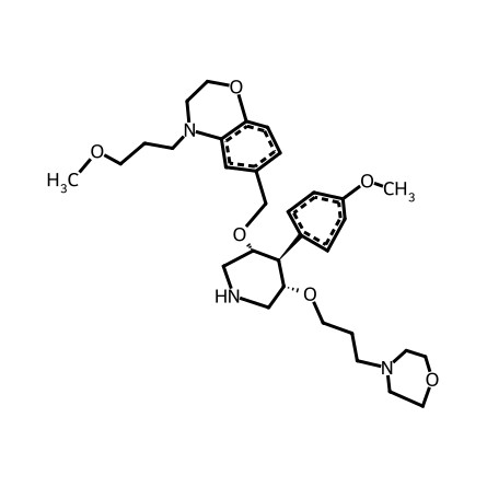 COCCCN1CCOc2ccc(CO[C@H]3CNC[C@@H](OCCCN4CCOCC4)[C@@H]3c3ccc(OC)cc3)cc21